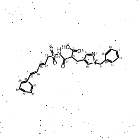 O=C(O)C(Cc1cnn(Cc2ccccc2)c1)C(=O)NS(=O)(=O)C/C=C/C=Cc1ccccc1